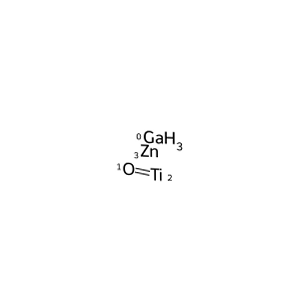 [GaH3].[O]=[Ti].[Zn]